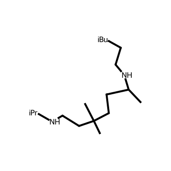 CCC(C)CCNC(C)CCC(C)(C)CCNC(C)C